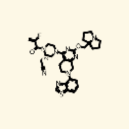 C=C(F)C(=O)N1CCN(c2nc(OCC34CCCN3CCC4)nc3c2CCN(c2cccc4scnc24)C3)C[C@@H]1CC#N